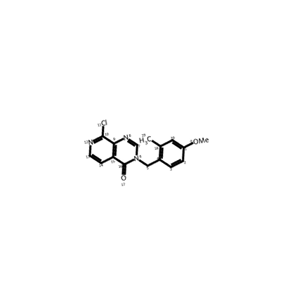 COc1ccc(Cn2cnc3c(Cl)nccc3c2=O)c(C)c1